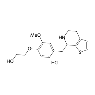 COc1cc(CC2NCCc3ccsc32)ccc1OCCO.Cl